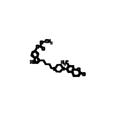 COC(=O)Oc1ccc2[nH]cc(CCCCN3CCN(c4cc5ccc(=O)oc5cc4C)CC3)c2c1